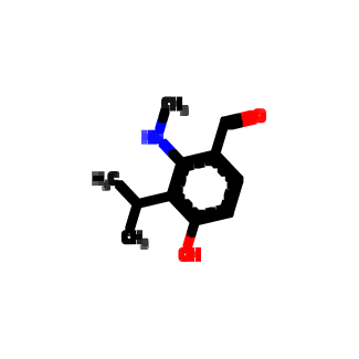 CNc1c(C=O)ccc(O)c1C(C)C